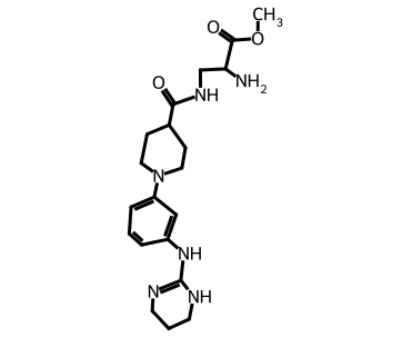 COC(=O)C(N)CNC(=O)C1CCN(c2cccc(NC3=NCCCN3)c2)CC1